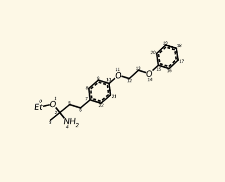 CCOC(C)(N)CCc1ccc(OCCOc2ccccc2)cc1